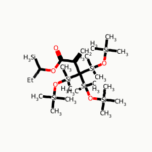 C=C(C(=O)OC([SiH3])CC)C([Si](C)(C)O[Si](C)(C)C)([Si](C)(C)O[Si](C)(C)C)[Si](C)(C)O[Si](C)(C)C